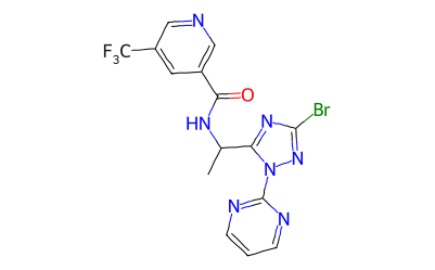 CC(NC(=O)c1cncc(C(F)(F)F)c1)c1nc(Br)nn1-c1ncccn1